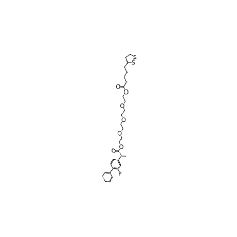 CC(C(=O)OCCOCCOCCOCCOC(=O)CCCCC1CCSS1)c1ccc(C2=CCCC=C2)c(F)c1